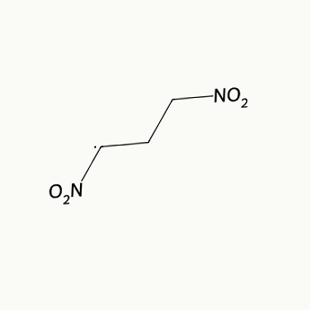 O=[N+]([O-])[CH]CC[N+](=O)[O-]